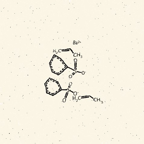 C=CC.C=CC.O=S(=O)([O-])c1ccccc1.O=S(=O)([O-])c1ccccc1.[Ba+2]